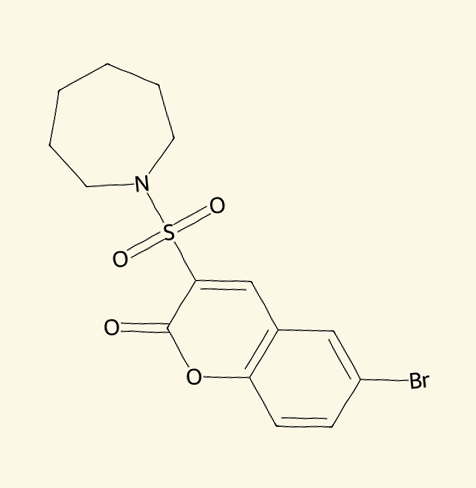 O=c1oc2ccc(Br)cc2cc1S(=O)(=O)N1CCCCCC1